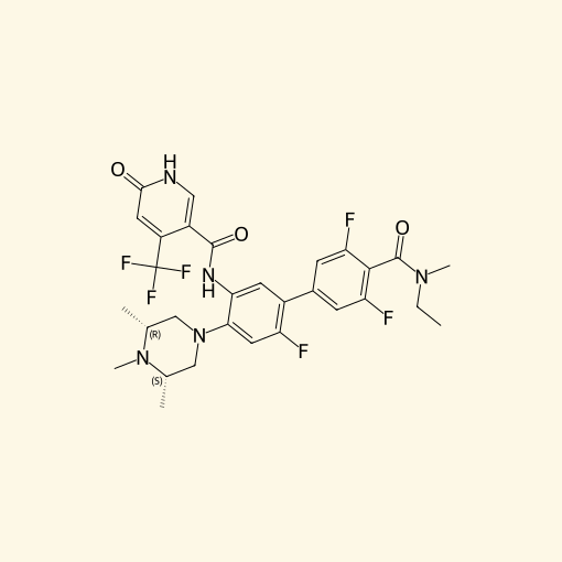 CCN(C)C(=O)c1c(F)cc(-c2cc(NC(=O)c3c[nH]c(=O)cc3C(F)(F)F)c(N3C[C@@H](C)N(C)[C@@H](C)C3)cc2F)cc1F